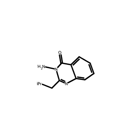 CC(C)Cc1nc2ccccc2c(=O)n1N